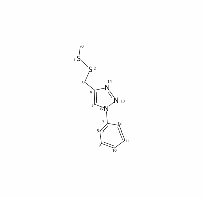 CSSCc1cn(-c2ccccc2)nn1